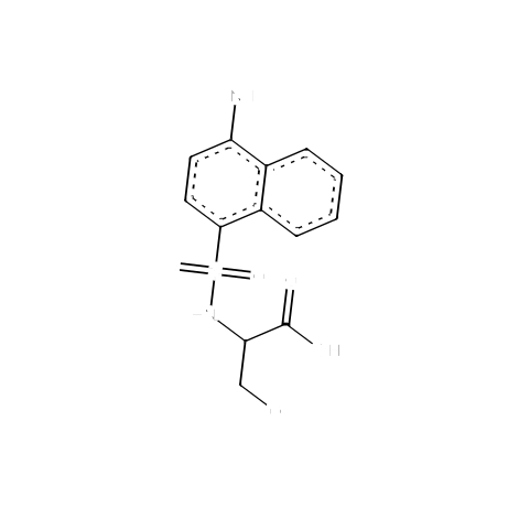 Nc1ccc(S(=O)(=O)NC(CO)C(=O)O)c2ccccc12